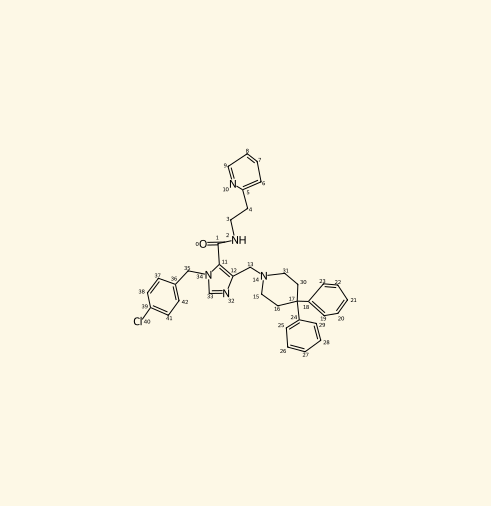 O=C(NCCc1ccccn1)c1c(CN2CCC(c3ccccc3)(c3ccccc3)CC2)ncn1Cc1ccc(Cl)cc1